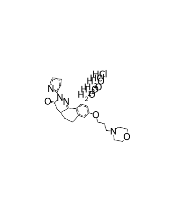 Cl.Cl.O.O.O.O.O=C1CC2CCc3cc(OCCCN4CCOCC4)ccc3C2=NN1c1ccccn1